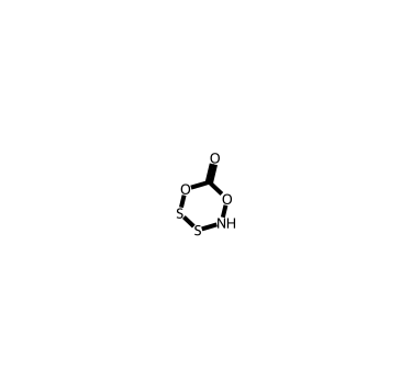 O=c1o[nH]sso1